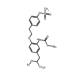 CCOC(Cc1ccc(OCCc2ccc(OS(C)(=O)=O)cc2)c(NC(=O)OC(C)(C)C)c1)C(=O)O